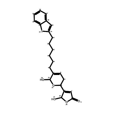 O=C1C=C(C2CC=C(CCCCCCc3cc4ccccc4s3)C(O)O2)C(O)O1